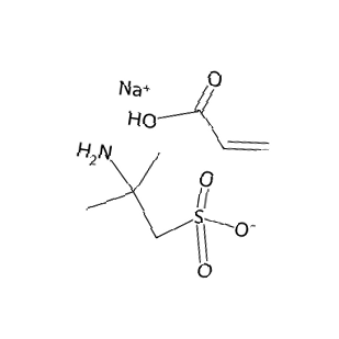 C=CC(=O)O.CC(C)(N)CS(=O)(=O)[O-].[Na+]